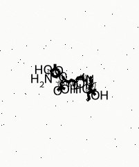 CCCC(C)(O)[C@H](O)[C@@H](C)N(C)C[C@H](C)CC(C)(O)C[C@@H](C)C(O[C@H]1CC(N)[C@H](O)C(C)O1)[C@@H](C)C(=O)O